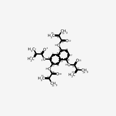 C=C(C)C(=O)Oc1cc2c(OC(=O)C(=C)C)ccc(OC(=O)C(=C)C)c2cc1OC(=O)C(=C)C